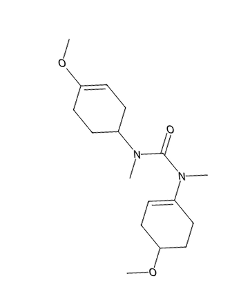 COC1=CCC(N(C)C(=O)N(C)C2=CCC(OC)CC2)CC1